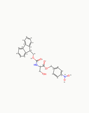 O=C(NC(CO)C(=O)OCc1ccc([N+](=O)[O-])cc1)OCC1c2ccccc2-c2ccccc21